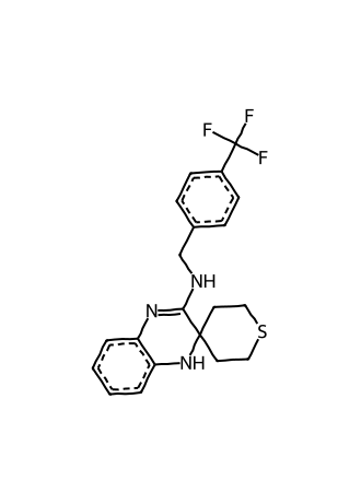 FC(F)(F)c1ccc(CNC2=Nc3ccccc3NC23CCSCC3)cc1